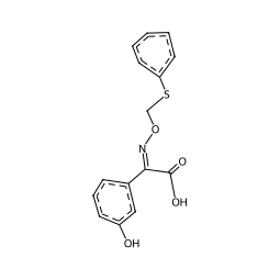 O=C(O)C(=NOCSc1ccccc1)c1cccc(O)c1